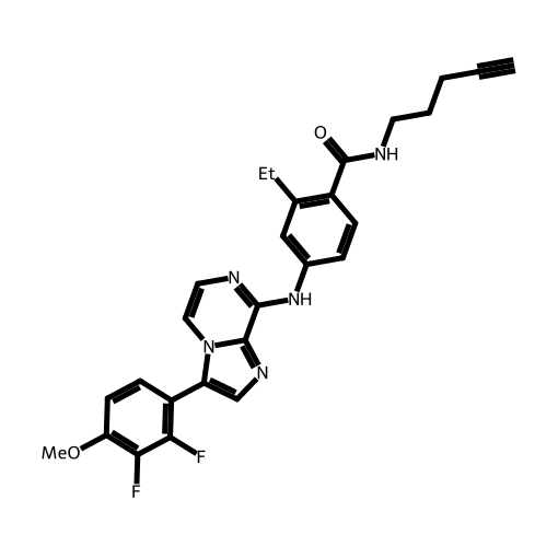 C#CCCCNC(=O)c1ccc(Nc2nccn3c(-c4ccc(OC)c(F)c4F)cnc23)cc1CC